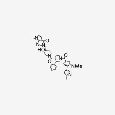 CNc1cc(C(=O)N2CC[C@@H](C(=O)N3CCC(O)(Cn4cnc5c(ccn5C)c4=O)CC3)[C@H](c3ccccc3)C2)sc1-c1ccc(C)nc1